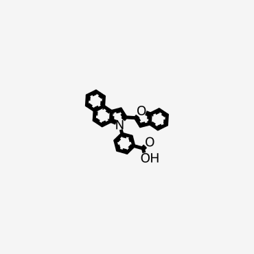 O=C(O)c1cccc(-n2c(-c3cc4ccccc4o3)cc3c4ccccc4ccc32)c1